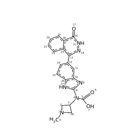 CN1CC(N(C(=O)O)c2nc3cc(-c4n[nH]c(=O)c5ccccc45)ccc3[nH]2)C1